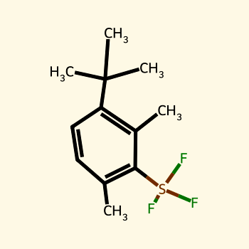 Cc1ccc(C(C)(C)C)c(C)c1S(F)(F)F